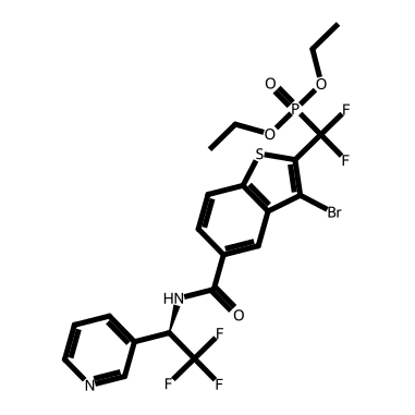 CCOP(=O)(OCC)C(F)(F)c1sc2ccc(C(=O)N[C@H](c3cccnc3)C(F)(F)F)cc2c1Br